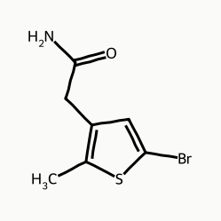 Cc1sc(Br)cc1CC(N)=O